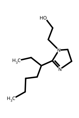 CCCCC(CC)C1=NCCN1CCO